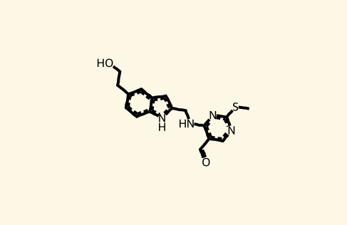 CSc1ncc(C=O)c(NCc2cc3cc(CCO)ccc3[nH]2)n1